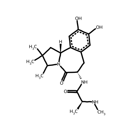 CN[C@@H](C)C(=O)N[C@H]1Cc2cc(O)c(O)cc2[C@H]2CC(C)(C)C(C)N2C1=O